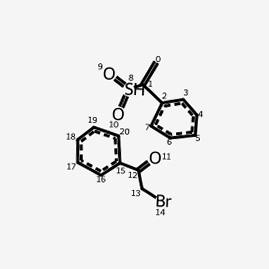 C=C(c1ccccc1)[SH](=O)=O.O=C(CBr)c1ccccc1